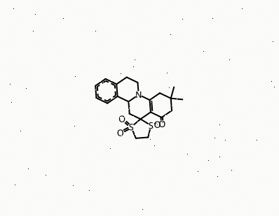 CC1(C)CC(=O)C2=C(C1)N1CCc3ccccc3C1CC21[S+]([O-])CCS1(=O)=O